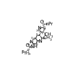 CCCC(=O)c1cc(C)c(-c2cc3cnc(NC(=O)[C@@H]4C[C@@H]4F)cc3nc2C)cn1